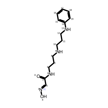 O=C(/C=N/O)NCCCNCCCNc1ccccc1